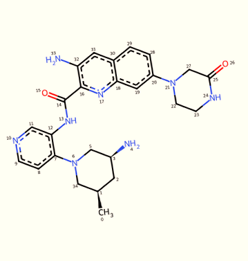 C[C@@H]1C[C@H](N)CN(c2ccncc2NC(=O)c2nc3cc(N4CCNC(=O)C4)ccc3cc2N)C1